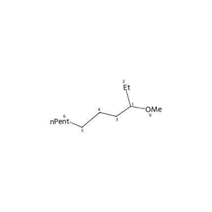 [CH2]OC(CC)CCCCCCCC